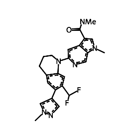 CNC(=O)c1cn(C)c2cnc(N3CCCc4cc(-c5cnn(C)c5)c(C(F)F)cc43)cc12